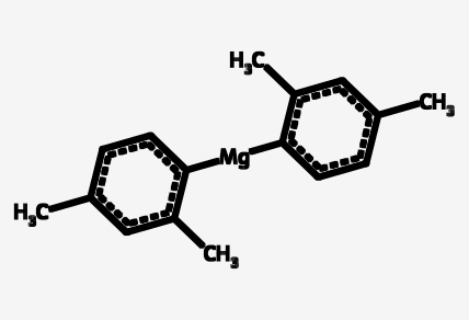 Cc1cc[c]([Mg][c]2ccc(C)cc2C)c(C)c1